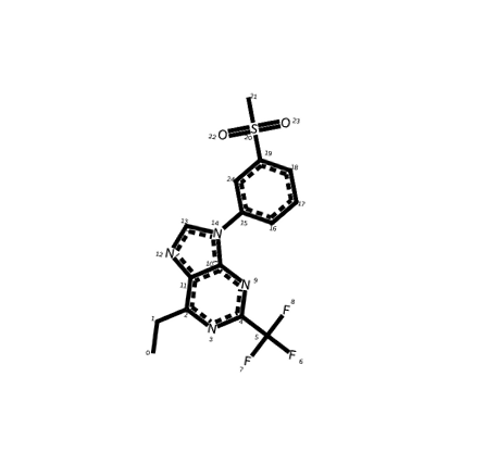 CCc1nc(C(F)(F)F)nc2c1ncn2-c1cccc(S(C)(=O)=O)c1